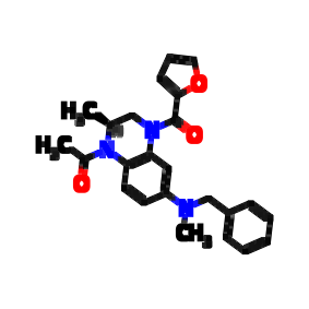 CC(=O)N1c2ccc(N(C)Cc3ccccc3)cc2N(C(=O)c2ccco2)C[C@@H]1C